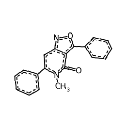 Cn1c(-c2ccccc2)cc2noc(-c3ccccc3)c2c1=O